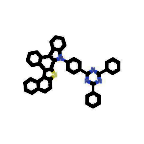 c1ccc(-c2nc(-c3ccccc3)nc(-c3ccc(-n4c5ccccc5c5c6ccccc6c6c(sc7ccc8ccccc8c76)c54)cc3)n2)cc1